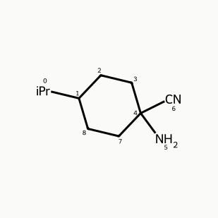 CC(C)C1CCC(N)(C#N)CC1